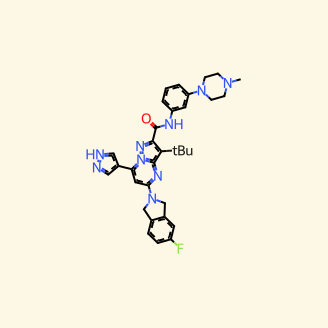 CN1CCN(c2cccc(NC(=O)c3nn4c(-c5cn[nH]c5)cc(N5Cc6ccc(F)cc6C5)nc4c3C(C)(C)C)c2)CC1